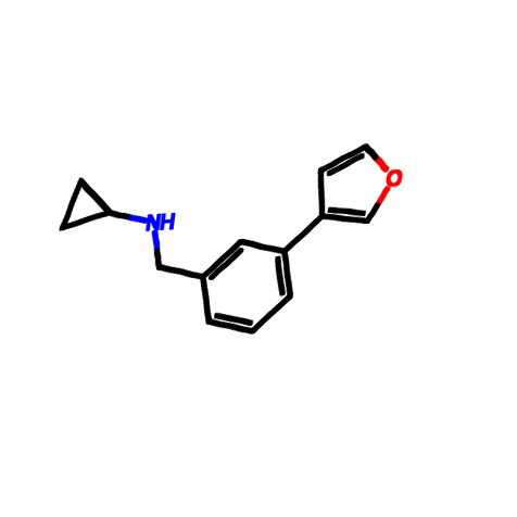 c1cc(CNC2CC2)cc(-c2ccoc2)c1